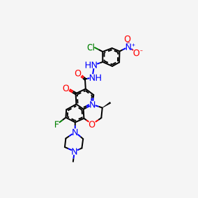 C[C@H]1COc2c(N3CCN(C)CC3)c(F)cc3c(=O)c(C(=O)NNc4ccc([N+](=O)[O-])cc4Cl)cn1c23